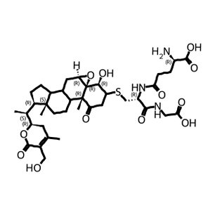 CC1=C(CO)C(=O)O[C@@H]([C@@H](C)[C@H]2CCC3C4C[C@H]5O[C@]56[C@@H](O)C(SC[C@H](NC(=O)CC[C@@H](N)C(=O)O)C(=O)NCC(=O)O)CC(=O)[C@]6(C)C4CC[C@@]32C)C1